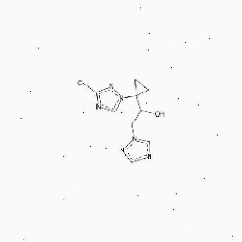 OC(Cn1cncn1)C1(n2cnc(Cl)n2)CC1